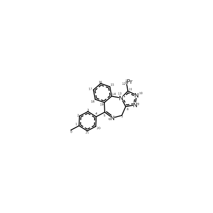 Cc1ccc(C2=NCc3nnc(C(C)C)n3-c3ccccc32)cc1